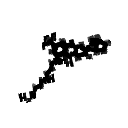 NCCCNCCCNc1cc(C(F)(F)F)cc2c1Nc1ccc(N3CC4CCC3C4)cc1S2